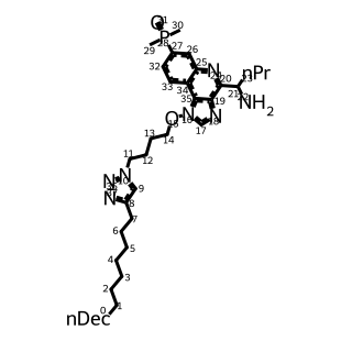 CCCCCCCCCCCCCCCCCc1cn(CCCCOn2cnc3c(C(N)CCC)nc4cc(P(C)(C)=O)ccc4c32)nn1